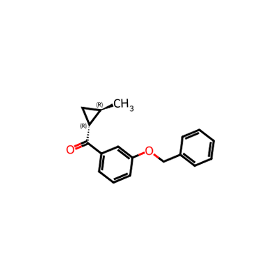 C[C@@H]1C[C@H]1C(=O)c1cccc(OCc2ccccc2)c1